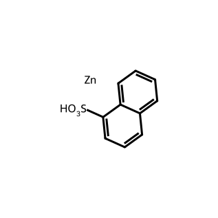 O=S(=O)(O)c1cccc2ccccc12.[Zn]